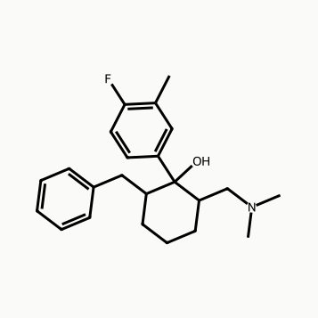 Cc1cc(C2(O)C(Cc3ccccc3)CCCC2CN(C)C)ccc1F